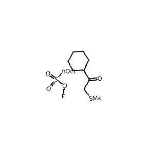 CCCCCCCCS(=O)(=O)OF.CSCC(=O)C1CCCCC1